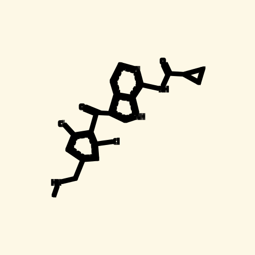 CNCc1cc(Cl)c(C(=O)c2c[nH]c3c(NC(=O)C4CC4)nccc23)c(Cl)c1